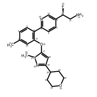 Cc1ccc(-c2ccc([C@@H](F)CN)cn2)c(Oc2cc(C3CCOCC3)nn2C)c1